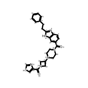 O=C(c1ccc2nc(CCc3ccccc3)[nH]c2c1)N1CCN(C2CN(C(=O)c3cscn3)C2)CC1